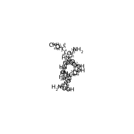 C=C/C(=C\C=C(/C)C(=O)N[C@@H](CCCCN)C(=O)N(C)[C@@H]1C(=O)N[C@@H](C)C(=O)N[C@H](C(=O)N[C@@H](C)C(=O)N(CCO)CC(N)=O)Cc2ccc(O)c(c2)-c2cc1ccc2O)c1ccc(Cl)cc1